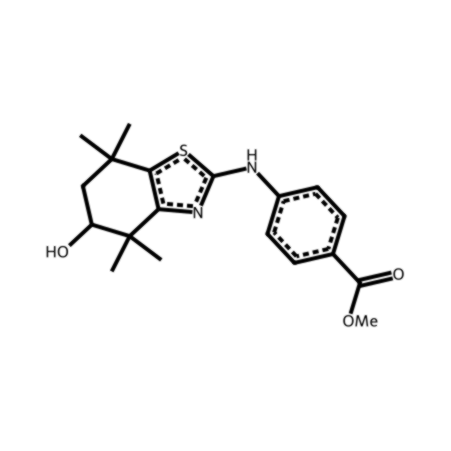 COC(=O)c1ccc(Nc2nc3c(s2)C(C)(C)CC(O)C3(C)C)cc1